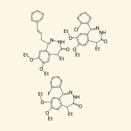 CCOc1cc2c(cc1OCC)C(CC)C(=O)NN=C2CC=Cc1ccccc1.CCOc1cc2c(cc1OCC)C(CC)C(=O)NN=C2c1ccccc1Cl.CCOc1cc2c(cc1OCC)C(CC)C(=O)NN=C2c1ccccc1F